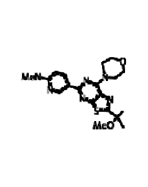 CNc1ccc(-c2nc(N3CCOCC3)c3nc(C(C)(C)OC)sc3n2)cn1